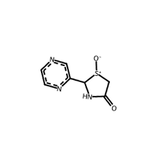 O=C1C[S+]([O-])C(c2cnccn2)N1